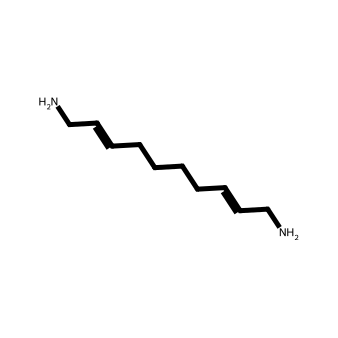 NCC=CCCCCC=CCN